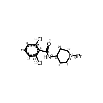 CC(C)N1CCC(NC(=O)c2c(Cl)cccc2Cl)CC1